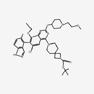 CCOc1c(-c2c(C)ccc3[nH]ncc23)c(Cl)cc2c(N3CCC4(CC3)CN(C(=O)OC(C)(C)C)C4)nc(OC3CCN(CCOC)CC3)nc12